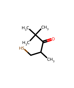 CC(CS)C(=O)C(C)(C)C